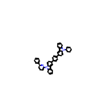 c1ccc(-c2cccc(-n3c4ccccc4c4cc(-c5ccc(-c6ccc7c(c6)c6ccccc6n7-c6ccccc6)cc5)ccc43)n2)cc1